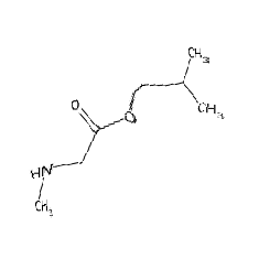 CNCC(=O)OCC(C)C